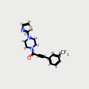 O=C(C#Cc1cccc(C(F)(F)F)c1)N1CCN(c2nccs2)CC1